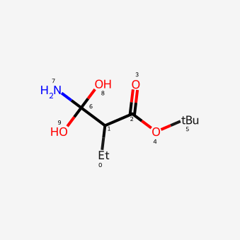 CCC(C(=O)OC(C)(C)C)C(N)(O)O